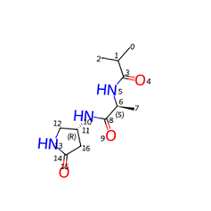 CC(C)C(=O)N[C@@H](C)C(=O)N[C@H]1CNC(=O)C1